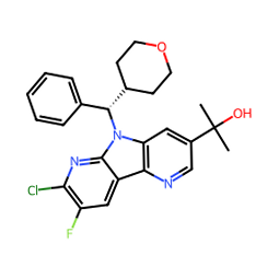 CC(C)(O)c1cnc2c3cc(F)c(Cl)nc3n([C@H](c3ccccc3)C3CCOCC3)c2c1